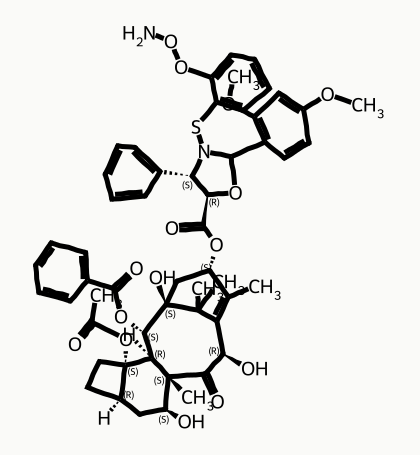 COc1ccc(C2O[C@@H](C(=O)O[C@H]3C[C@@]4(O)[C@@H](OC(=O)c5ccccc5)[C@@H]5[C@]6(OC(C)=O)CC[C@@H]6C[C@H](O)[C@@]5(C)C(=O)[C@H](O)C(=C3C)C4(C)C)[C@H](c3ccccc3)N2Sc2ccccc2OON)c(OC)c1